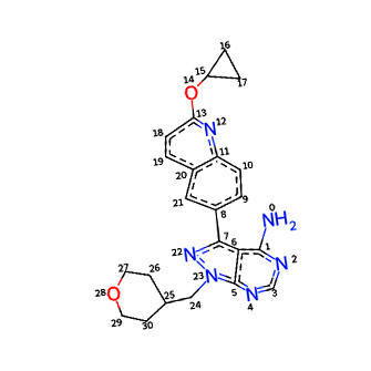 Nc1ncnc2c1c(-c1ccc3nc(OC4CC4)ccc3c1)nn2CC1CCOCC1